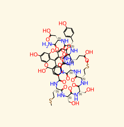 CSCC[C@H](NC(=O)c1ccc(-c2c3ccc(=O)cc-3oc3cc(O)ccc23)c(C(=O)O)c1)C(=O)N[C@@H](CO)C(=O)N[C@@H](CO)C(=O)N[C@@H](CCSC)C(=O)N[C@@H](CC(N)=O)C(=O)N1CCCC1C(=O)N[C@@H](CCC(=O)O)C(=O)N[C@@H](Cc1ccc(O)cc1)C(=O)N[C@@H](CC(=O)O)C(N)=O